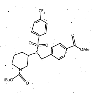 COC(=O)c1ccc(CN(C2CCCN(C(=O)OCC(C)C)C2)S(=O)(=O)c2ccc(C(F)(F)F)cc2)cc1